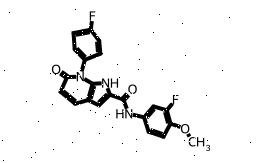 COc1ccc(NC(=O)c2cc3ccc(=O)n(-c4ccc(F)cc4)c3[nH]2)cc1F